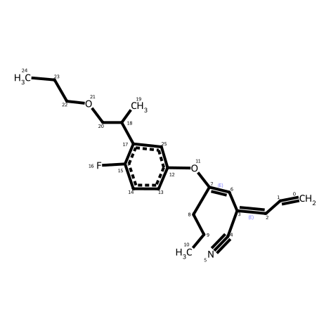 C=C/C=C(C#N)\C=C(/CCC)Oc1ccc(F)c(C(C)COCCC)c1